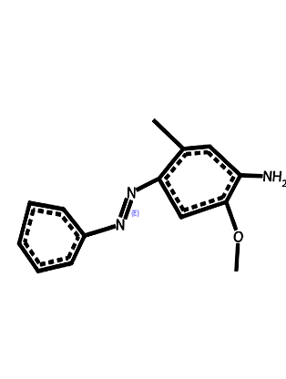 COc1cc(/N=N/c2ccccc2)c(C)cc1N